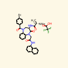 CN[C@@H](C)C(=O)NC1CN(C(=O)c2ccc(C(C)=O)cc2)c2ccccc2N(CC(=O)Nc2cccc3ccccc23)C1=O.O=C(O)C(F)(F)F